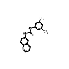 O=C(Nc1cc(C(F)(F)F)cc(C(F)(F)F)c1)Nc1ccc2ncccc2c1